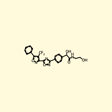 O=C(NCCO)[C@H](O)c1ccc(-c2noc(-c3noc(-c4ccccc4)c3C(F)(F)F)n2)cc1